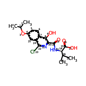 CC(C)Oc1ccc2c(O)c(C(=O)N[C@@H](C(=O)O)C(C)C)nc(Cl)c2c1